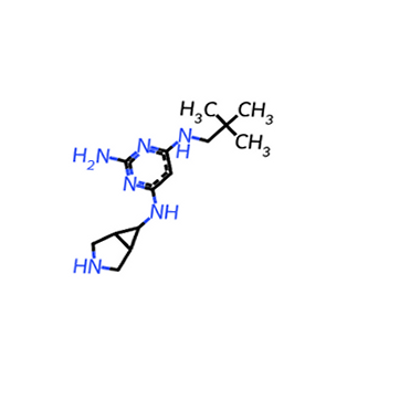 CC(C)(C)CNc1cc(NC2C3CNCC32)nc(N)n1